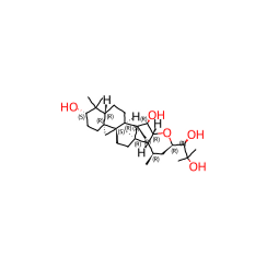 C[C@@H]1C[C@H]([C@@H](O)C(C)(C)O)O[C@@H]2[C@H]1[C@@]1(C)CC[C@@]34C[C@@]35CC[C@H](O)C(C)(C)[C@@H]5CC[C@H]4[C@]1(C)[C@H]2O